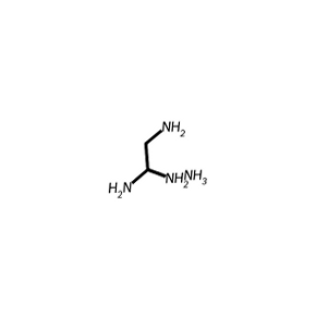 N.NCC(N)N